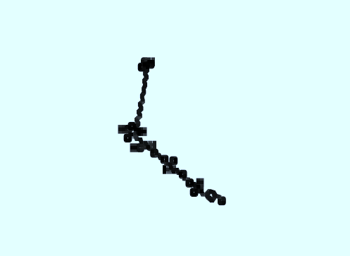 O=Cc1ccc(CNC(=O)COCCOCCNC(=O)COCCOCCNC(O)CC[C@H](NC(=O)CCCCCCCCCCCCCCCS(=O)(=O)O)C(=O)O)cc1